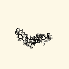 COc1ccc(CN2C(=O)C3=C[C@](C)(NS(=O)(=O)c4ccc(C(F)(F)F)cn4)C[C@H]4CC[C@@H]2[C@@]34O)cc1